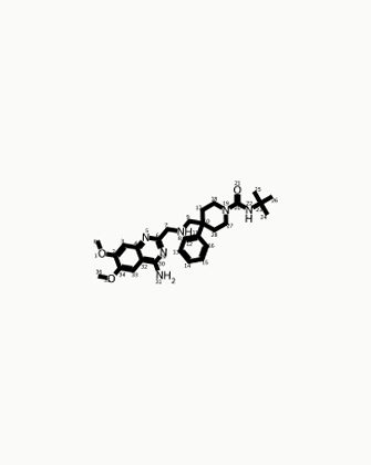 COc1cc2nc(CNCC3(c4ccccc4)CCN(C(=O)NC(C)(C)C)CC3)nc(N)c2cc1OC